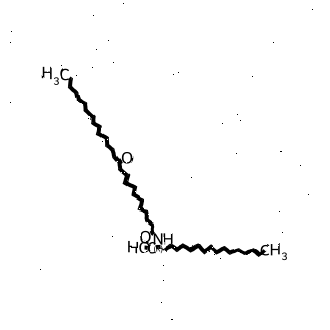 CCCCCCCCCCCCCCCC[C@H](CO)NC(=O)CCCCCCCCCCC(=O)CCCCCCCCCCCCCCC